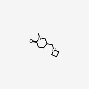 CN1CC(CN2CCC2)CCC1=O